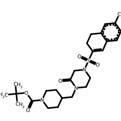 CC(C)(C)OC(=O)N1CCC(CN2CCN(S(=O)(=O)C3=Cc4ccc(Cl)cc4CC3)CC2=O)CC1